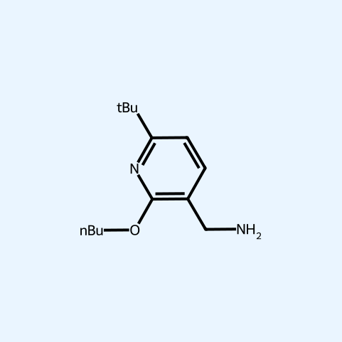 CCCCOc1nc(C(C)(C)C)ccc1CN